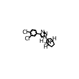 CN1[C@@H]2CC[C@H]1C[C@@H](n1cc(-c3ccc(Cl)c(Cl)c3)nn1)C2